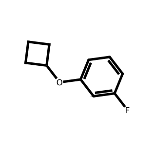 Fc1[c]c(OC2CCC2)ccc1